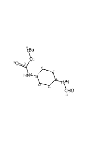 CC(C)(C)OC(=O)NC1CCC(NC=O)CC1